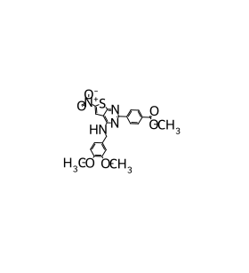 COC(=O)c1ccc(-c2nc(NCc3ccc(OC)c(OC)c3)c3cc([N+](=O)[O-])sc3n2)cc1